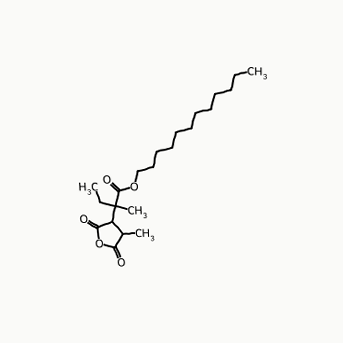 CCCCCCCCCCCCOC(=O)C(C)(CC)C1C(=O)OC(=O)C1C